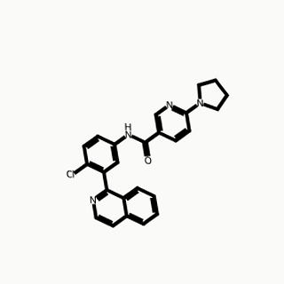 O=C(Nc1ccc(Cl)c(-c2nccc3ccccc23)c1)c1ccc(N2CCCC2)nc1